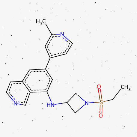 CCS(=O)(=O)N1CC(Nc2cc(-c3ccnc(C)c3)cc3ccncc23)C1